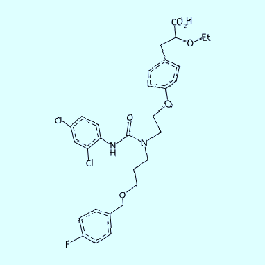 CCOC(Cc1ccc(OCCN(CCCOCc2ccc(F)cc2)C(=O)Nc2ccc(Cl)cc2Cl)cc1)C(=O)O